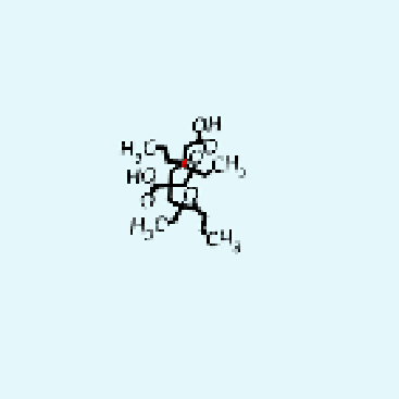 CCCC1OC1(CC)CC(CCCC(=O)O)(CC1(CC)OC1CCC)C(=O)O